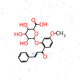 COc1ccc(C(=O)/C=C/c2ccccc2)c(OC2OC(C(=O)O)C(O)C(O)C2O)c1